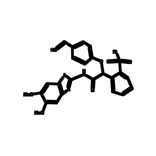 CCS(=O)(=O)c1ccccc1C(Oc1ccc(C=N)cc1)C(=O)Nc1nc2cc(OC)c(OC)cc2s1